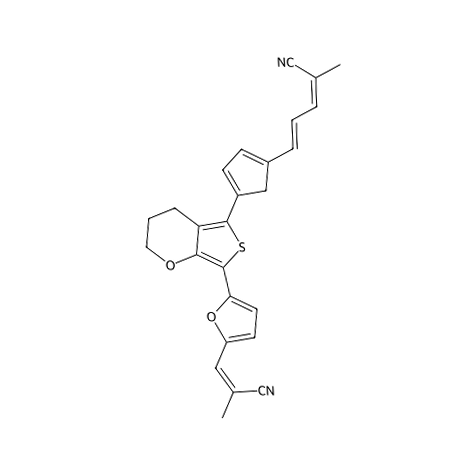 C/C(C#N)=C/C=C/C1=CC=C(c2sc(-c3ccc(/C=C(/C)C#N)o3)c3c2CCCO3)C1